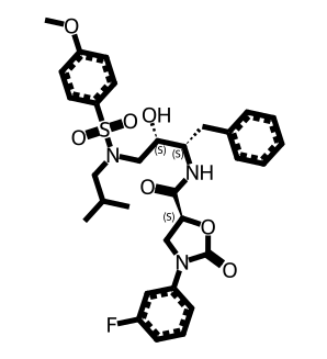 COc1ccc(S(=O)(=O)N(CC(C)C)C[C@H](O)[C@H](Cc2ccccc2)NC(=O)[C@@H]2CN(c3cccc(F)c3)C(=O)O2)cc1